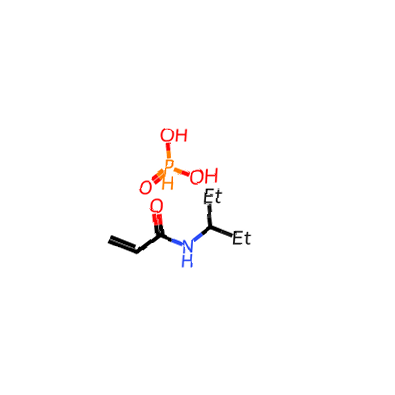 C=CC(=O)NC(CC)CC.O=[PH](O)O